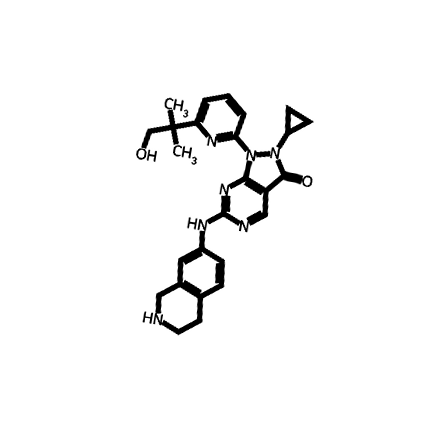 CC(C)(CO)c1cccc(-n2c3nc(Nc4ccc5c(c4)CNCC5)ncc3c(=O)n2C2CC2)n1